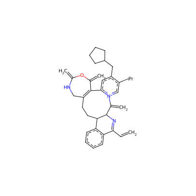 C=CC1=NC2C(=C)[n+]3cc(C(C)C)c(CC4CCCC4)cc3C3=C(CCC2c2ccccc21)CNC(=C)OC3=C